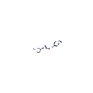 CC(C)C(=O)N1CCC(c2ncc(C(=O)NCc3ccn4ccnc4c3)s2)C1